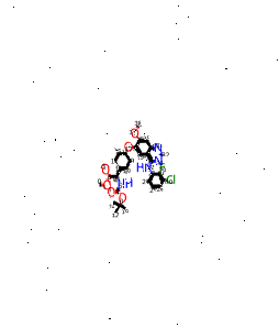 COC(=O)[C@H](NC(=O)OC(C)(C)C)[C@H]1CC[C@H](Oc2cc3c(Nc4cccc(Cl)c4F)ncnc3cc2OC)CC1